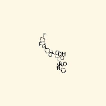 O=C(CC(CCn1nnc2ccccc2c1=O)C(=O)O)c1cc2cc(OCc3cc(F)ccc3F)ccc2o1